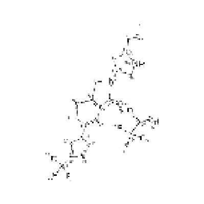 COC[C@@H]1C[C@@H](N2Cc3ccc(-n4cnc(C(F)(F)F)c4)nc3C2=O)CN1.O=C(O)C(F)(F)F